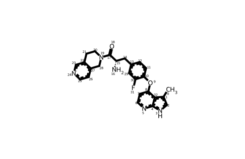 Cc1c[nH]c2nccc(Oc3ccc(C[C@H](N)C(=O)N4CCc5cnccc5C4)cc3F)c12